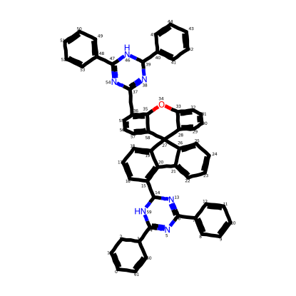 C1=CCC(C2=NC(c3ccccc3)=NC(c3cccc4c3-c3ccccc3C43c4ccccc4Oc4c(C5=NC(c6ccccc6)NC(c6ccccc6)=N5)cccc43)N2)C=C1